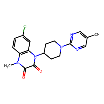 Cn1c(=O)c(=O)n(C2CCN(c3ncc(C#N)cn3)CC2)c2cc(Cl)ccc21